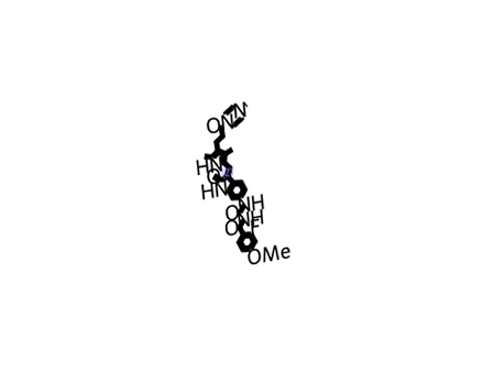 COc1ccc(C(=O)NC(=O)Nc2ccc3c(c2)NC(=O)/C3=C\c2[nH]c(C)c(CCC(=O)N3CCN(C)CC3)c2C)c(F)c1